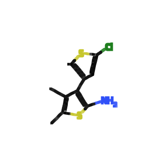 Cc1sc(N)c(-c2[c]sc(Cl)c2)c1C